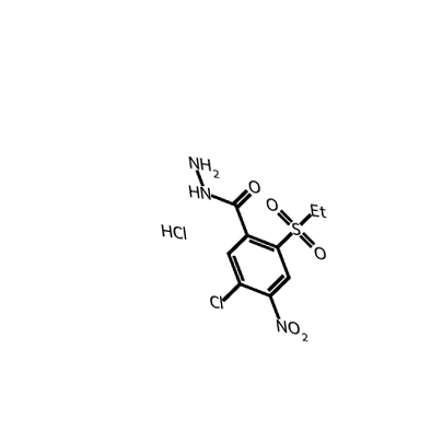 CCS(=O)(=O)c1cc([N+](=O)[O-])c(Cl)cc1C(=O)NN.Cl